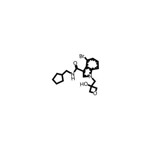 O=C(NCC1CCCC1)c1cn(CC2(O)COC2)c2cccc(Br)c12